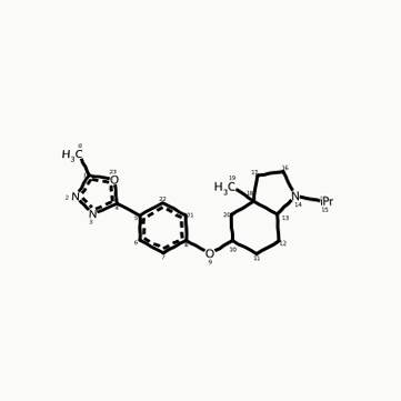 Cc1nnc(-c2ccc(OC3CCC4N(C(C)C)CCC4(C)C3)cc2)o1